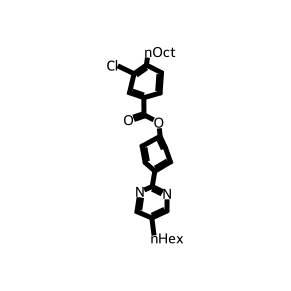 CCCCCCCCc1ccc(C(=O)Oc2ccc(-c3ncc(CCCCCC)cn3)cc2)cc1Cl